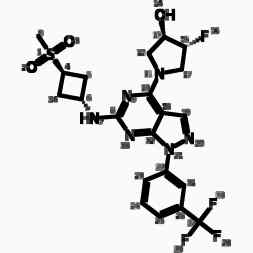 CS(=O)(=O)[C@H]1C[C@H](Nc2nc(N3C[C@@H](O)[C@H](F)C3)c3cnn(-c4cccc(C(F)(F)F)c4)c3n2)C1